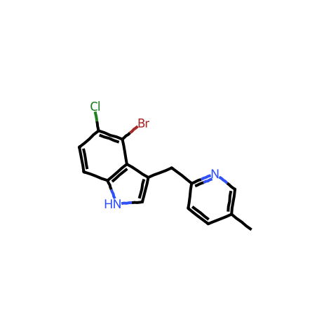 Cc1ccc(Cc2c[nH]c3ccc(Cl)c(Br)c23)nc1